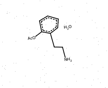 CC(=O)Oc1ccccc1CCN.O